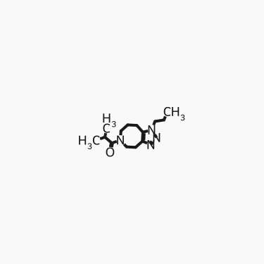 CCCn1nnc2c1CCCN(C(=O)C(C)C)CC2